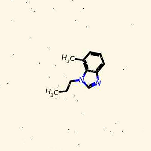 CCCn1cnc2cccc(C)c21